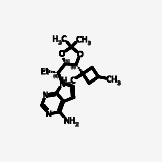 CC[C@H]([C@@H]1OC(C)(C)O[C@@H]1C1(C)CC(C)C1)n1ccc2c(N)ncnc21